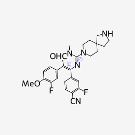 COc1ccc(/C(C)=C(/N=C(\N(C)C=O)N2CCC3(CCNC3)CC2)c2ccc(C#N)c(F)c2)cc1F